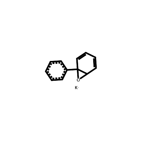 C1=CC2OC2(c2ccccc2)C=C1.[K]